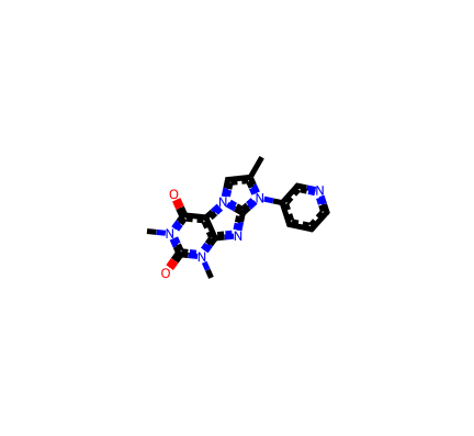 Cc1cn2c3c(=O)n(C)c(=O)n(C)c3nc2n1-c1cccnc1